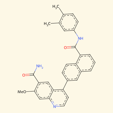 COc1cc2nccc(-c3ccc4c(C(=O)Nc5ccc(C)c(C)c5)cccc4c3)c2cc1C(N)=O